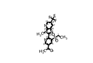 CCS(=O)(=O)c1cc(C(C)=O)cnc1-c1nc2cc(C(F)(F)F)cnc2n1C